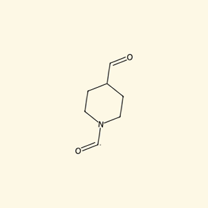 O=[C]N1CCC(C=O)CC1